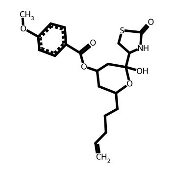 C=CCCCC1CC(OC(=O)c2ccc(OC)cc2)CC(O)(C2CSC(=O)N2)O1